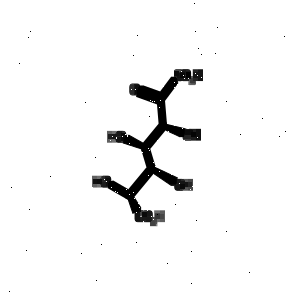 O=C(O)[C@@H](O)[C@H](O)[C@@H](O)[C@H](O)C(=O)S(=O)(=O)O